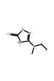 CCN(C)c1noc(=O)[nH]1